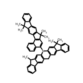 CC1c2ccccc2-c2cc3c(cc21)N(c1cc2c(c4ccccc14)-c1cc4c(cc1C2(C)C)-c1ccccc1C4(C)C)c1cc2c(cc1C3)-c1ccccc1C2(C)C